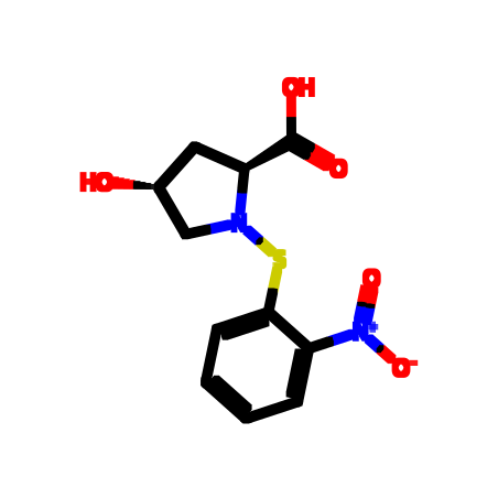 O=C(O)[C@@H]1C[C@@H](O)CN1Sc1ccccc1[N+](=O)[O-]